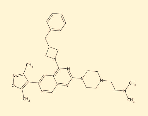 Cc1noc(C)c1-c1ccc2nc(N3CCN(CCN(C)C)CC3)nc(N3CC(Cc4ccccc4)C3)c2c1